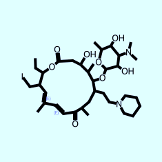 CCC1OC(=O)CC(O)C(C)C(OC2OC(C)C(O)C(N(C)C)C2O)C(CCN2CCCCC2)CC(C)C(=O)/C=C/C(C)=C/C1CI